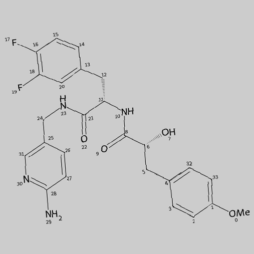 COc1ccc(C[C@@H](O)C(=O)N[C@@H](Cc2ccc(F)c(F)c2)C(=O)NCc2ccc(N)nc2)cc1